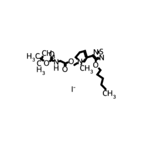 CCCCCCOc1nsnc1C1=CCC[N+](C)(COC(=O)CNC(=O)OC(C)(C)C)C1.[I-]